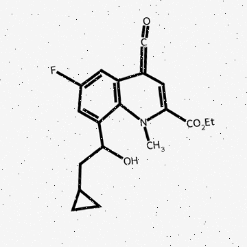 CCOC(=O)C1=CC(=C=O)c2cc(F)cc(C(O)CC3CC3)c2N1C